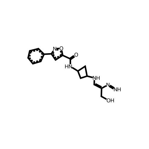 N=N/C(=C\NC1CC(NC(=O)c2cc(-c3ccccc3)no2)C1)CO